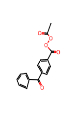 CC(=O)OOC(=O)c1ccc(C(=O)c2ccccc2)cc1